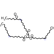 CCCCCCC/C=C\CCCCCCC(=O)OC(COC(=O)CCCCCCC/C=C\CCCCCCCC)COC(=O)CCCCCCC/C=C\CC(CCCCCC)OC=O